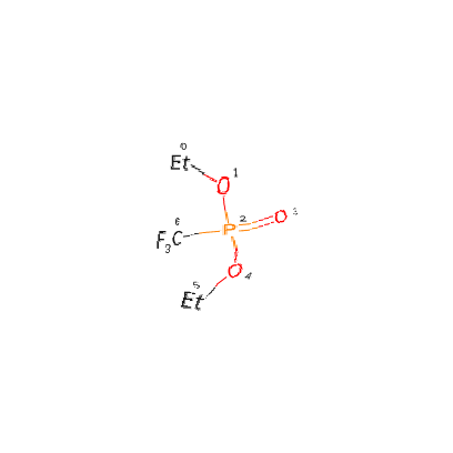 CCOP(=O)(OCC)C(F)(F)F